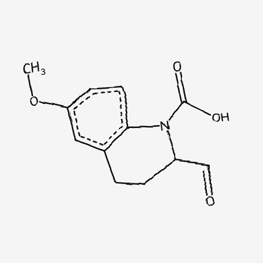 COc1ccc2c(c1)CCC(C=O)N2C(=O)O